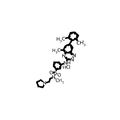 Cc1cccc(C)c1-c1cc(C)c2nc(Nc3cccc(S(=O)(=O)N(C)CCN4CCCC4)c3)nnc2c1.Cl